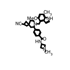 COc1cc(C)c2[nH]ccc2c1CN1CCC2(CC(C#N)C2)CC1c1ccc(C(=O)NC2CN(C)C2)cc1